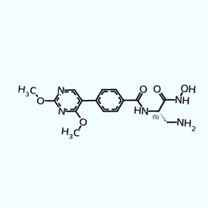 COc1ncc(-c2ccc(C(=O)N[C@@H](CN)C(=O)NO)cc2)c(OC)n1